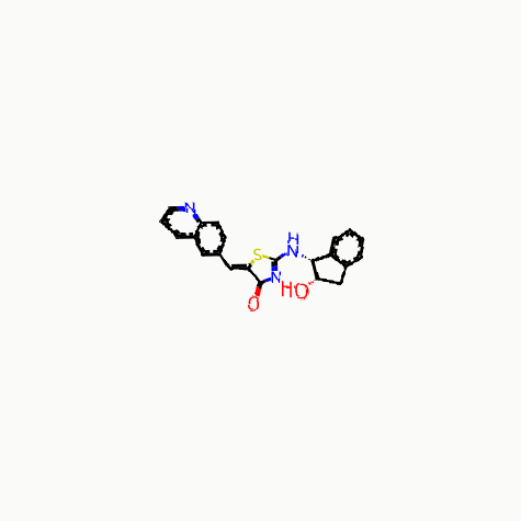 O=C1N=C(N[C@@H]2c3ccccc3C[C@@H]2O)S/C1=C\c1ccc2ncccc2c1